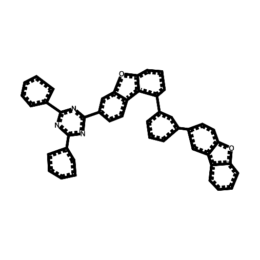 c1ccc(-c2nc(-c3ccccc3)nc(-c3ccc4c(c3)oc3cccc(-c5cccc(-c6ccc7oc8ccccc8c7c6)c5)c34)n2)cc1